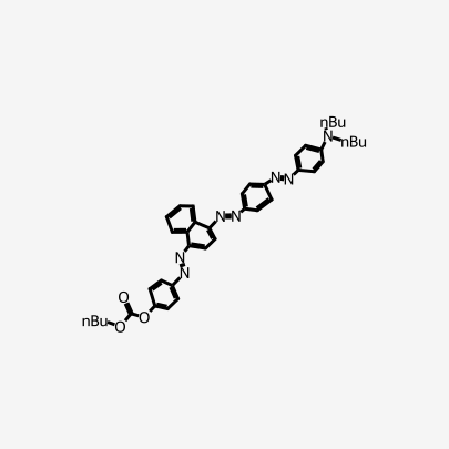 CCCCOC(=O)Oc1ccc(/N=N/c2ccc(/N=N/c3ccc(/N=N/c4ccc(N(CCCC)CCCC)cc4)cc3)c3ccccc23)cc1